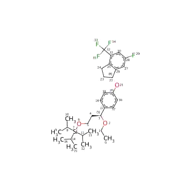 CCO[C@@H](CCO[Si](C(C)C)(C(C)C)C(C)C)c1ccc(O[C@@H]2CCc3c2cc(F)cc3C(F)(F)F)cc1